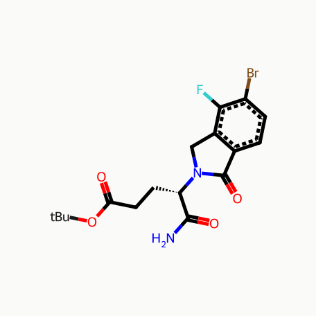 CC(C)(C)OC(=O)CC[C@@H](C(N)=O)N1Cc2c(ccc(Br)c2F)C1=O